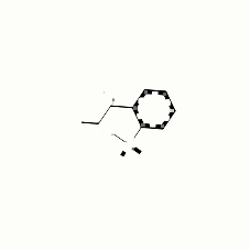 C[C@@H](CF)c1ccccc1S(=O)(=O)Cl